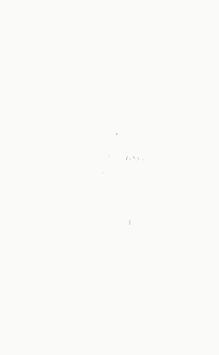 CNC(C)(C)C(=O)OCC(C)C